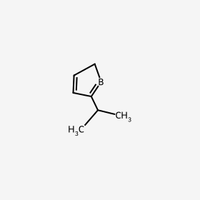 CC(C)C1=BCC=C1